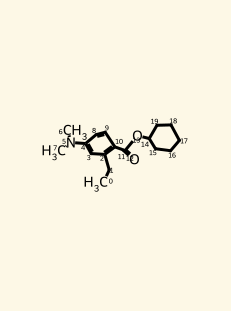 CCc1cc(N(C)C)ccc1C(=O)OC1CCCCC1